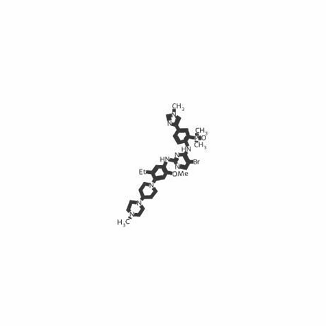 CCc1cc(Nc2ncc(Br)c(Nc3ccc(-c4cn(C)cn4)cc3P(C)(C)=O)n2)c(OC)cc1N1CCC(N2CCN(C)CC2)CC1